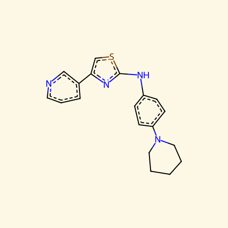 c1cncc(-c2csc(Nc3ccc(N4CCCCC4)cc3)n2)c1